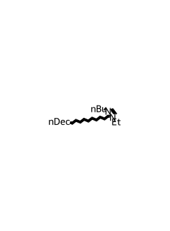 CCCCCCCCCCCCCCCCCCCC1N(CC)C=CN1CCCC